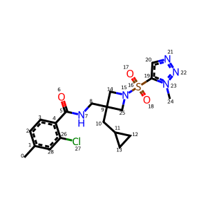 Cc1ccc(C(=O)NCC2(CC3CC3)CN(S(=O)(=O)c3cnnn3C)C2)c(Cl)c1